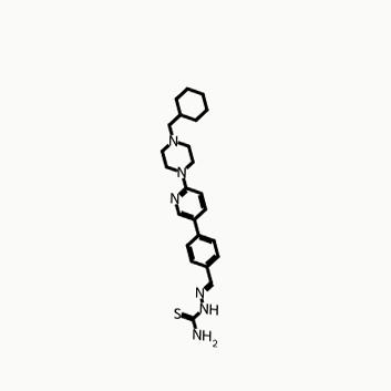 NC(=S)NN=Cc1ccc(-c2ccc(N3CCN(CC4CCCCC4)CC3)nc2)cc1